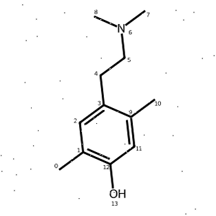 Cc1cc(CCN(C)C)c(C)cc1O